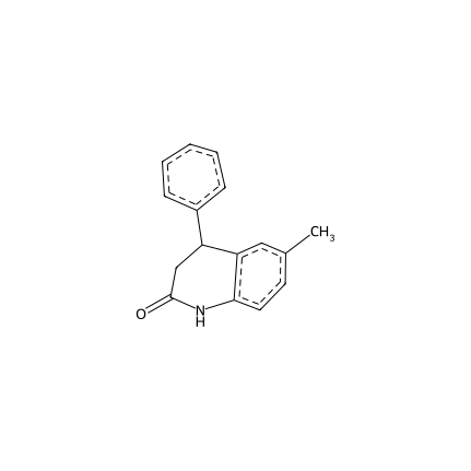 Cc1ccc2c(c1)C(c1ccccc1)CC(=O)N2